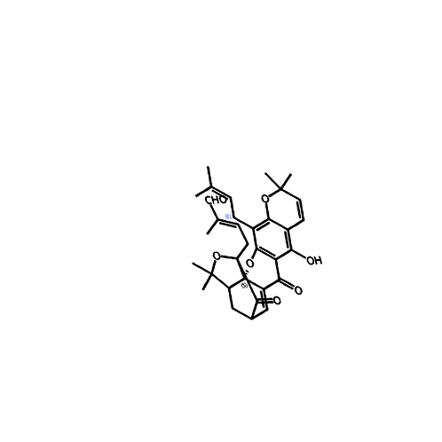 CC(C)=CCc1c2c(c(O)c3c1O[C@]14C(=CC5CC1C(C)(C)OC4(C/C=C(\C)C=O)C5=O)C3=O)C=CC(C)(C)O2